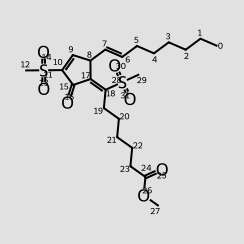 CCCCCCC=CC1C=C(S(C)(=O)=O)C(=O)C1=C(CCCCCC(=O)OC)S(C)(=O)=O